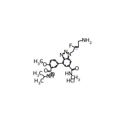 CNC(=O)c1cc(-c2ccc(OC)c(S(=O)(=O)NC(C)C)c2)c2nnn(C/C(F)=C/CN)c2c1.Cl